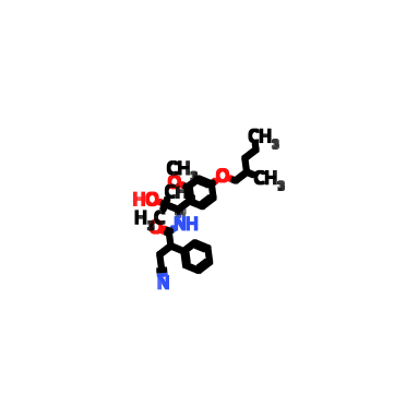 CCCC(C)COc1ccc([C@@H](NC(=O)C(CC#N)c2ccccc2)C(C)(C)O)c(OC)c1